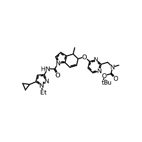 CCn1nc(NC(=O)n2ccc3c2C=CC(Oc2ccnc(CN(C)C(=O)OC(C)(C)C)n2)C3C)cc1C1CC1